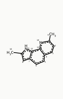 Cc1ccc2ccc3cc(C)[nH]c3c2n1